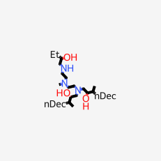 CCCCCCCCCCC(C)C(O)CN(CCN(C)CCNCC(O)CC)CC(O)C(C)CCCCCCCCCC